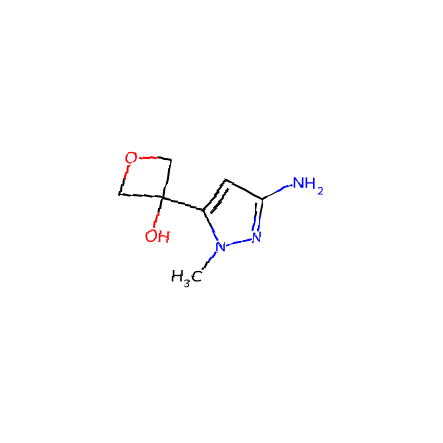 Cn1nc(N)cc1C1(O)COC1